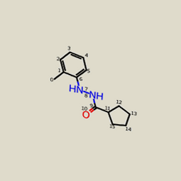 Cc1ccccc1NNC(=O)C1CCCC1